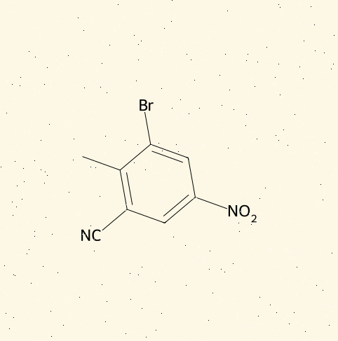 Cc1c(Br)cc([N+](=O)[O-])cc1C#N